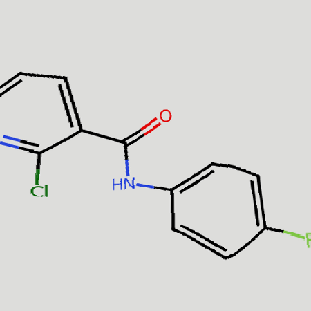 O=C(Nc1ccc(F)cc1)c1cccnc1Cl